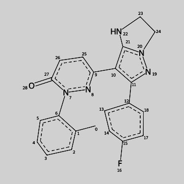 Cc1ccccc1-n1nc(-c2c(-c3ccc(F)cc3)nn3c2NCC3)ccc1=O